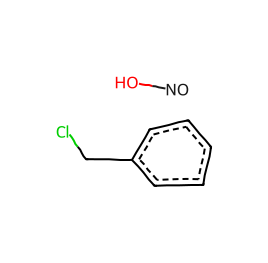 ClCc1ccccc1.O=NO